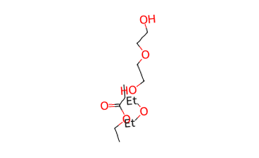 CCOC(=O)CC.CCOCC.OCCOCCO